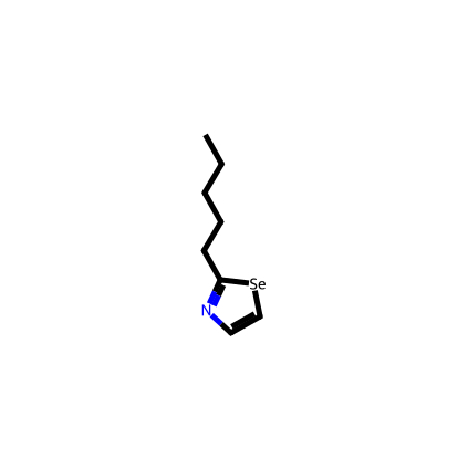 CCCCCc1ncc[se]1